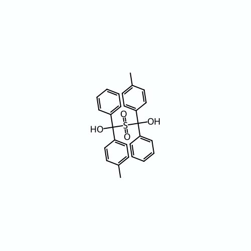 Cc1ccc(C(O)(c2ccccc2)S(=O)(=O)C(O)(c2ccccc2)c2ccc(C)cc2)cc1